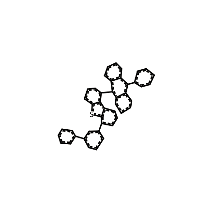 c1ccc(-c2cccc(-c3cccc4c3sc3cccc(-c5c6ccccc6c(-c6ccccc6)c6ccccc56)c34)c2)cc1